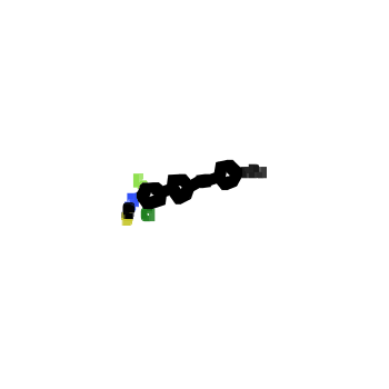 CCCCc1ccc(C#Cc2ccc(-c3cc(F)c(N=C=S)c(Cl)c3)cc2)cc1